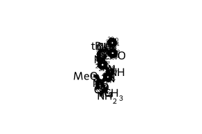 COCc1nn(C)c(O[C@@H](C)CN)c1-c1cnc2[nH]nc(-c3ccc4nn(C[C@H](C)O[Si](c5ccccc5)(c5ccccc5)C(C)(C)C)c(C=O)c4c3)c2c1